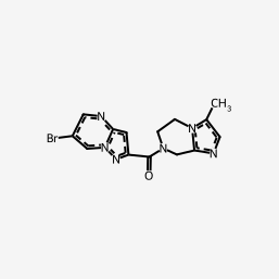 Cc1cnc2n1CCN(C(=O)c1cc3ncc(Br)cn3n1)C2